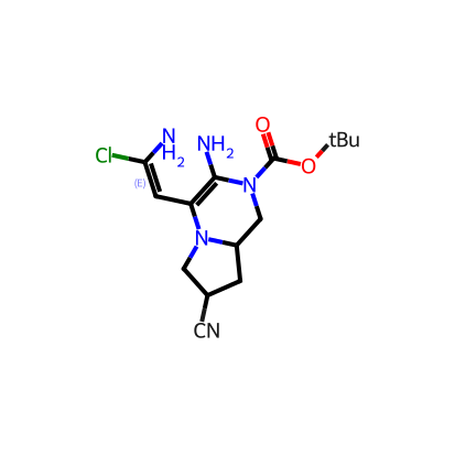 CC(C)(C)OC(=O)N1CC2CC(C#N)CN2C(/C=C(\N)Cl)=C1N